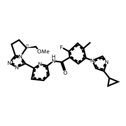 COC[C@@H]1CCc2nnc(-c3cccc(NC(=O)c4cc(-n5cnc(C6CC6)c5)c(C)cc4F)n3)n21